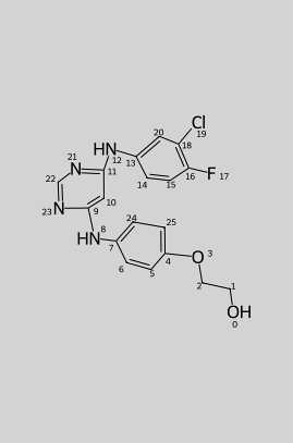 OCCOc1ccc(Nc2cc(Nc3ccc(F)c(Cl)c3)ncn2)cc1